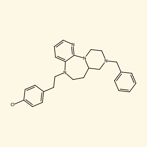 Clc1ccc(CCN2CCC3CN(Cc4ccccc4)CCN3c3ncccc32)cc1